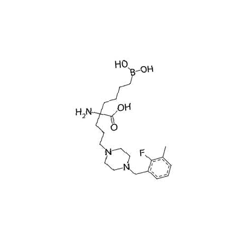 Cc1cccc(CN2CCN(CCCC(N)(CCCCB(O)O)C(=O)O)CC2)c1F